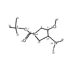 COC1CN(C(=O)OC(C)(C)C)CC1N(C)C